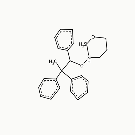 CC(c1ccccc1)(c1ccccc1)C(O[SiH]1CCCO[SiH2]1)c1ccccc1